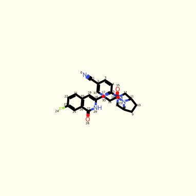 N#Cc1ccc(N2CC3CCC(C2)N3C(=O)CCc2cc3ccc(F)cc3c(=O)[nH]2)nc1